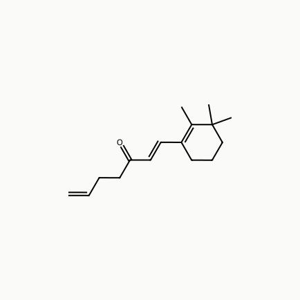 C=CCCC(=O)/C=C/C1=C(C)C(C)(C)CCC1